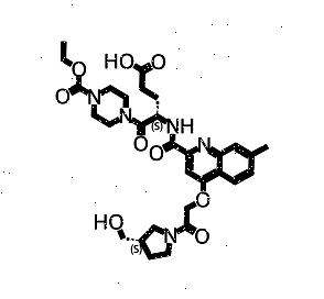 CCOC(=O)N1CCN(C(=O)[C@H](CCC(=O)O)NC(=O)c2cc(OCC(=O)N3CC[C@H](CO)C3)c3ccc(C)cc3n2)CC1